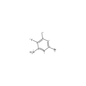 Cc1cc(Br)nc(N)c1F